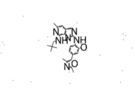 COc1cc(-c2oc(C)nc2C)ccc1Nc1ncc2cc(C)nc(NCC(C)(C)C)c2n1